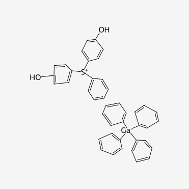 Oc1ccc([S+](c2ccccc2)c2ccc(O)cc2)cc1.c1cc[c]([Ga-]([c]2ccccc2)([c]2ccccc2)[c]2ccccc2)cc1